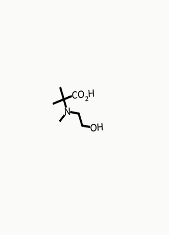 CN(CCO)C(C)(C)C(=O)O